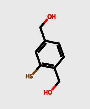 OCc1ccc(CO)c(S)c1